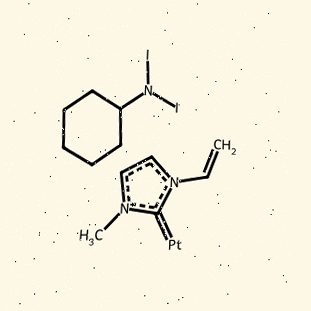 C=Cn1ccn(C)[c]1=[Pt].IN(I)C1CCCCC1